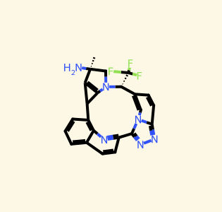 C[C@]1(N)CN2C3=C1C3c1cccc3ccc(nc13)-c1nnc3ccc(cn13)[C@H]2C(F)(F)F